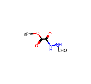 CCCOC(=O)C(=O)NNC=O